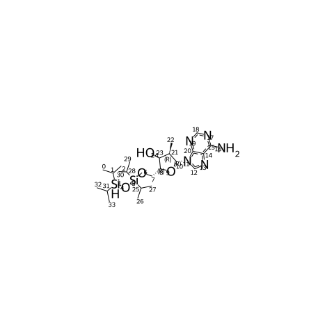 CC(C)[SiH](O[Si](OC[C@H]1O[C@@H](n2cnc3c(N)ncnc32)[C@H](C)C1O)(C(C)C)C(C)C)C(C)C